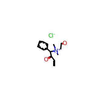 C=CC(=O)C(c1ccccc1)[N+](C)(C)CC=O.[Cl-]